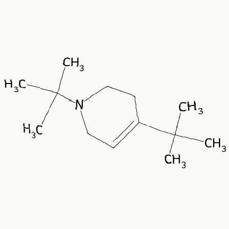 CC(C)(C)C1=CCN(C(C)(C)C)CC1